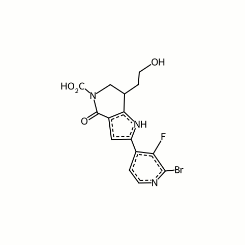 O=C(O)N1CC(CCO)c2[nH]c(-c3ccnc(Br)c3F)cc2C1=O